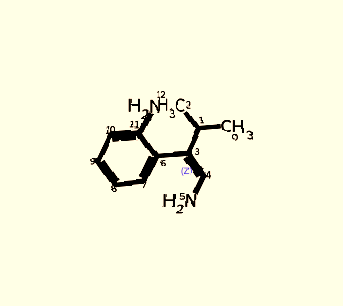 CC(C)/C(=C/N)c1ccccc1N